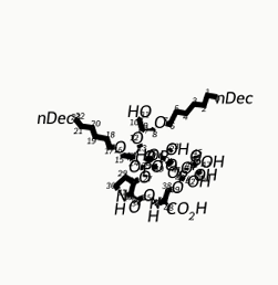 CCCCCCCCCCCCCCCCOC[C@H](CO)OC[C@@H](COCCCCCCCCCCCCCCCC)OP(=O)(OC1CCN[C@@H]1C(=O)ON[C@@H](COP(=O)(O)OP(=O)(O)O)C(=O)O)OP(=O)(O)O